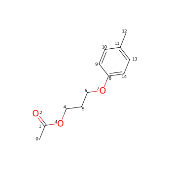 CC(=O)OCCCOc1ccc(C)cc1